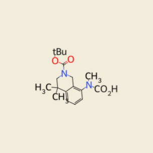 CN(C(=O)O)c1cccc2c1CN(C(=O)OC(C)(C)C)CC2(C)C